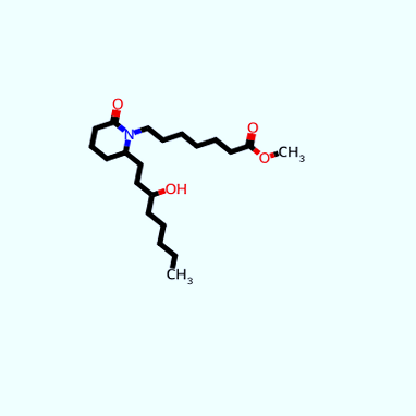 CCCCCC(O)CCC1CCCC(=O)N1CCCCCCC(=O)OC